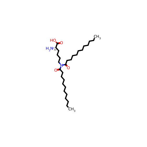 CCCCCCCCCCCC(=O)N(CCCC[C@H](N)C(=O)O)C(=O)CCCCCCCCCCC